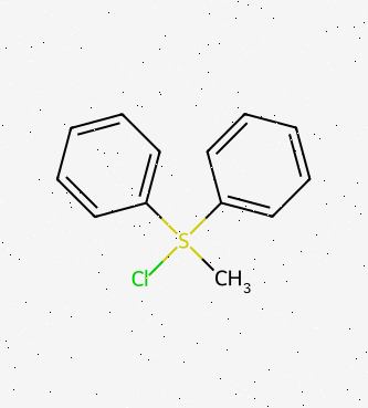 CS(Cl)(c1ccccc1)c1ccccc1